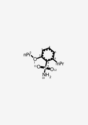 CCCOc1cccc(CCC)c1S(N)(=O)=O